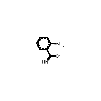 N=C(Br)c1ccccc1N